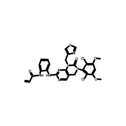 C=CC(=O)Nc1ccccc1Nc1ncc2c(n1)N(Cc1cscn1)C(=O)N(c1c(Cl)c(OC)cc(OC)c1Cl)C2